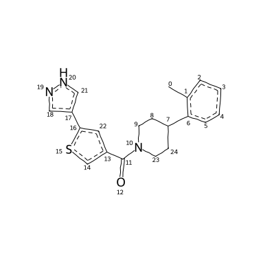 Cc1ccccc1C1CCN(C(=O)c2csc(-c3cn[nH]c3)c2)CC1